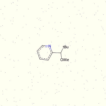 COC(c1ccccn1)C(C)(C)C